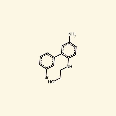 Nc1ccc(NCCO)c(-c2cccc(Br)c2)c1